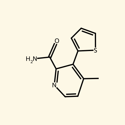 Cc1ccnc(C(N)=O)c1-c1cccs1